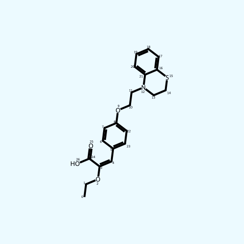 CCO/C(=C/c1ccc(OCCN2CCSc3ccccc32)cc1)C(=O)O